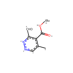 Cc1cnnc(C=O)c1C(=O)OC(C)(C)C